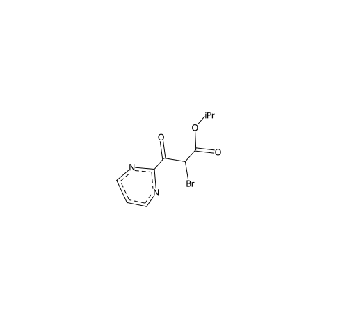 CC(C)OC(=O)C(Br)C(=O)c1ncccn1